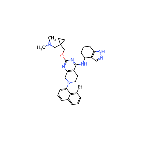 CCc1cccc2cccc(N3CCc4c(nc(OCC5(CN(C)C)CC5)nc4NC4CCCc5[nH]ncc54)C3)c12